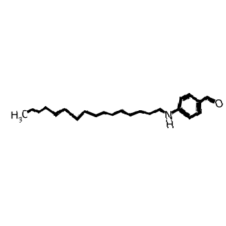 CCCCCCCCCCCCCCCCNc1ccc(C=O)cc1